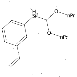 C=Cc1cccc([SiH2]C(OCCC)OCCC)c1